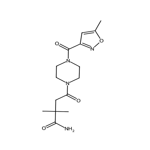 Cc1cc(C(=O)N2CCN(C(=O)CC(C)(C)C(N)=O)CC2)no1